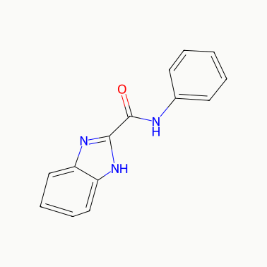 O=C(Nc1ccccc1)c1nc2ccccc2[nH]1